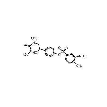 Cc1ccc(S(=O)(=O)Oc2ccc(C(O)CN(C)C(=O)OC(C)(C)C)cc2)cc1[N+](=O)[O-]